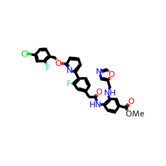 COC(=O)c1ccc(NC(=O)Cc2ccc(-c3cccc(OCc4ccc(Cl)cc4F)n3)c(F)c2)c(NCc2cnco2)c1